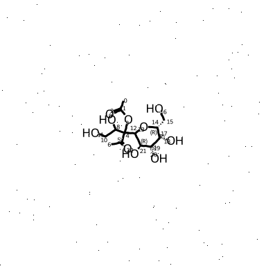 CC(=O)OC(C(C)=O)(C(O)CO)C1O[C@H](CO)[C@H](O)[C@H](O)[C@H]1O